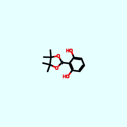 CC1(C)OB(c2c(O)cccc2O)OC1(C)C